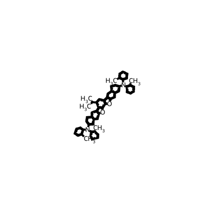 Cc1ccccc1N(c1ccc2cc3c(cc2c1)oc1c3cc(C(C)C)c2c3cc4ccc(N(c5ccccc5C)c5ccccc5C)cc4cc3oc12)c1ccccc1C